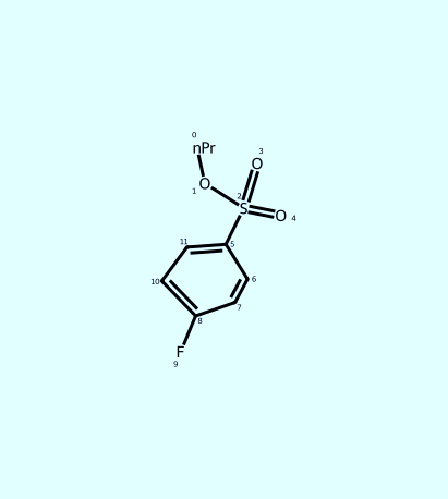 CCCOS(=O)(=O)c1ccc(F)cc1